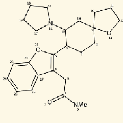 CNC(=O)Cc1c(C2CCC3(CCCO3)CC2N2CCCC2)oc2ccccc12